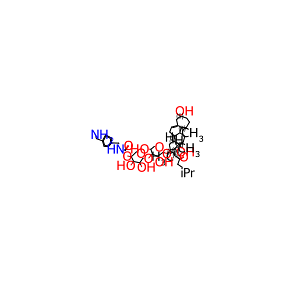 CC(C)CCC(=O)[C@@H](C)[C@@]1(O)[C@@H](OC2OCC(O)C(OC3OCC(OC(=O)NCc4ccc(CN)cc4)C(O)C3O)C2O)C[C@H]2[C@@H]3CC=C4C[C@@H](O)CCC[C@]4(C)C3CC[C@@]21C